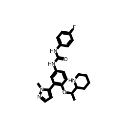 CC(Oc1ccc(NC(=O)Nc2ccc(F)cc2)cc1-c1ccnn1C)C1CCCCN1